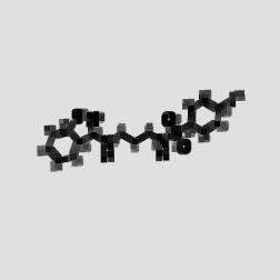 O=S(=O)(NCCCNc1nsc2ccccc12)c1ccc(I)cc1